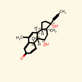 CC#C[C@]1(O)CC[C@H]2[C@@H]3C=C(C)C4=CC(=O)C=C[C@]4(C)[C@H]3[C@@H](O)C[C@@]21C